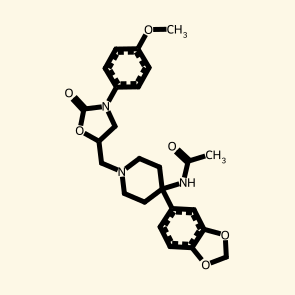 COc1ccc(N2CC(CN3CCC(NC(C)=O)(c4ccc5c(c4)OCO5)CC3)OC2=O)cc1